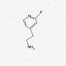 NCCc1ccnc(F)c1